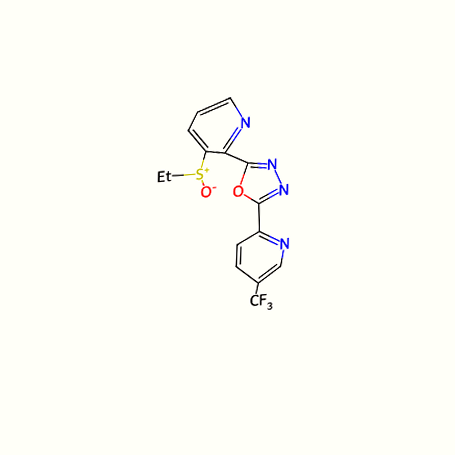 CC[S+]([O-])c1cccnc1-c1nnc(-c2ccc(C(F)(F)F)cn2)o1